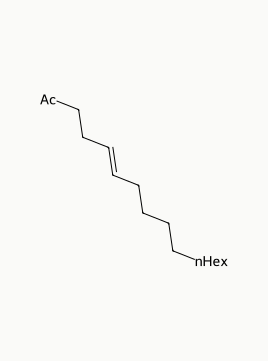 CCCCCCCCCC/C=C/CCC(C)=O